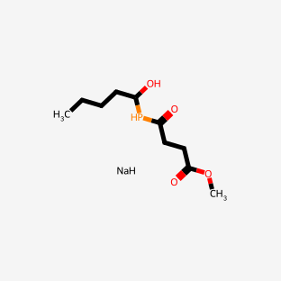 CCCCC(O)PC(=O)CCC(=O)OC.[NaH]